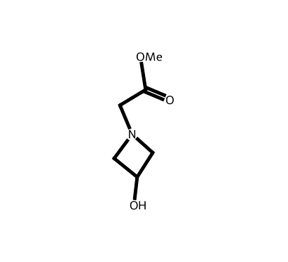 COC(=O)CN1CC(O)C1